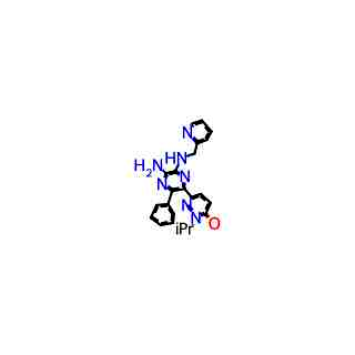 CC(C)n1nc(-c2nc(NCc3ccccn3)c(N)nc2-c2ccccc2)ccc1=O